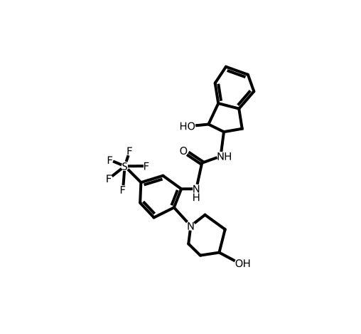 O=C(Nc1cc(S(F)(F)(F)(F)F)ccc1N1CCC(O)CC1)NC1Cc2ccccc2C1O